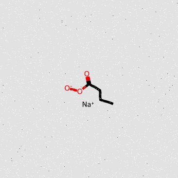 CCCC(=O)O[O-].[Na+]